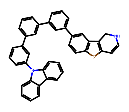 C1=Cc2sc3ccc(-c4cccc(-c5cccc(-c6cccc(-n7c8ccccc8c8ccccc87)c6)c5)c4)cc3c2CN1